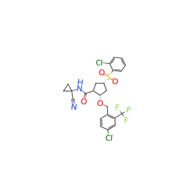 N#CC1(NC(=O)C2C[C@H](S(=O)(=O)c3ccccc3Cl)C[C@@H]2OCc2ccc(Cl)cc2C(F)(F)F)CC1